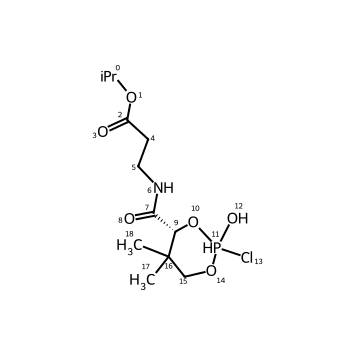 CC(C)OC(=O)CCNC(=O)[C@@H]1O[PH](O)(Cl)OCC1(C)C